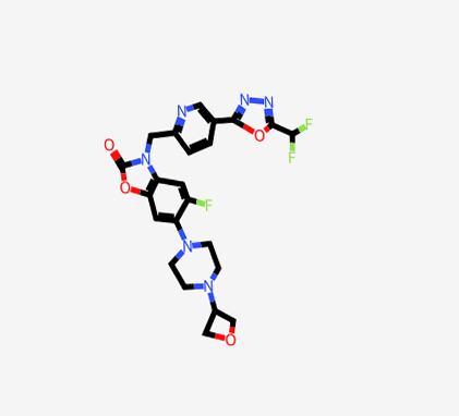 O=c1oc2cc(N3CCN(C4COC4)CC3)c(F)cc2n1Cc1ccc(-c2nnc(C(F)F)o2)cn1